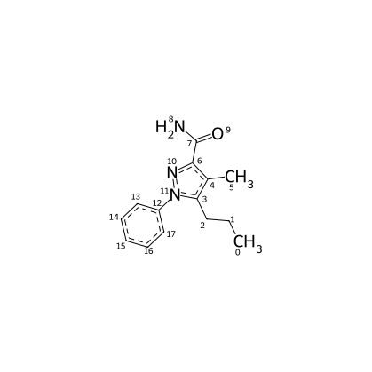 CCCc1c(C)c(C(N)=O)nn1-c1ccccc1